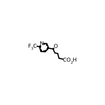 O=C(O)CCCC(=O)c1ccc(C(F)(F)F)nc1